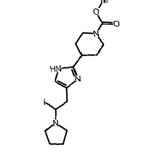 CC(C)(C)OC(=O)N1CCC(c2nc(CC(I)N3CCCC3)c[nH]2)CC1